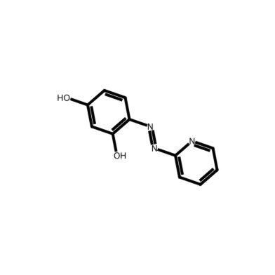 Oc1ccc(/N=N/c2ccccn2)c(O)c1